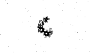 CC1(C)CN(C(=O)Cn2ncc3ncc(-c4ccc(F)c(C(F)F)c4)cc32)C1